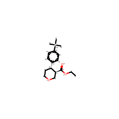 CCOC(=O)[C@H]1COCC[C@@H]1c1ccc([Si](C)(C)C)cc1